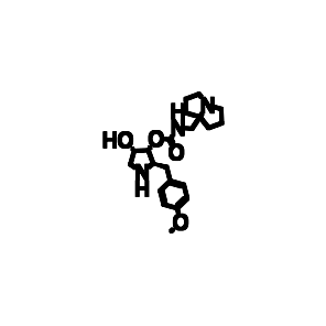 COc1ccc(C[C@H]2NC[C@H](O)[C@H]2OC(=O)NCC23CCCN2CCC3)cc1